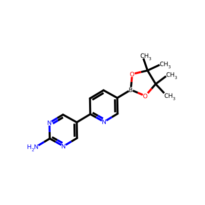 CC1(C)OB(c2ccc(-c3cnc(N)nc3)nc2)OC1(C)C